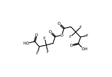 O=C(CC(F)(F)C(F)C(=O)O)OC(=O)CC(F)(F)C(F)C(=O)O